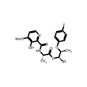 COc1ccnc(C(=S)N[C@@H](C)C(=O)O[C@H](C(C)C)[C@H](C)Oc2ccc(F)cc2)c1O